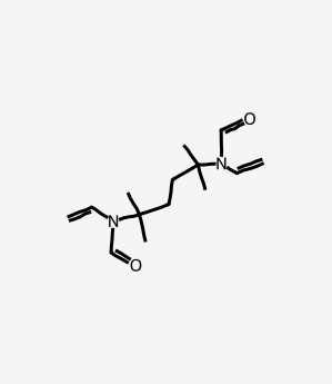 C=CN(C=O)C(C)(C)CCC(C)(C)N(C=C)C=O